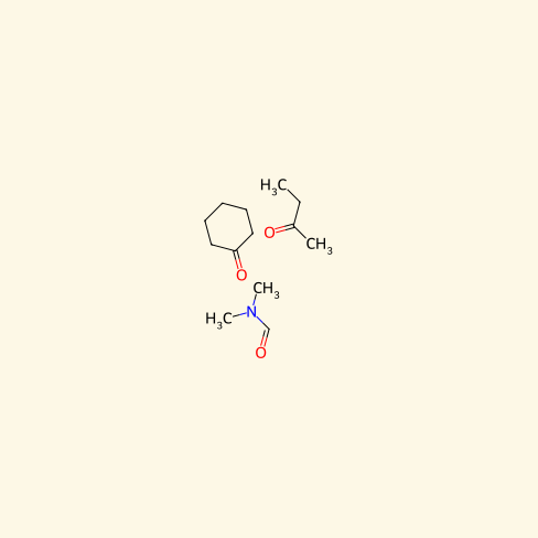 CCC(C)=O.CN(C)C=O.O=C1CCCCC1